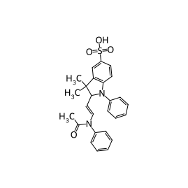 CC(=O)N(/C=C/C1N(c2ccccc2)c2ccc(S(=O)(=O)O)cc2C1(C)C)c1ccccc1